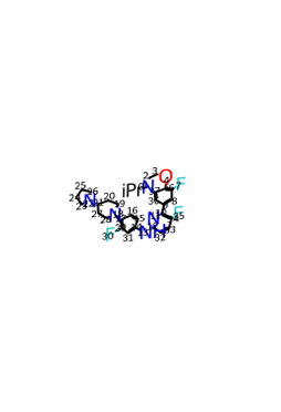 CC(C)N1CCOc2c(F)cc(-c3nc(Nc4ccc(N5CCC(N6CCCC6)CC5)c(F)c4)ccc3F)cc21